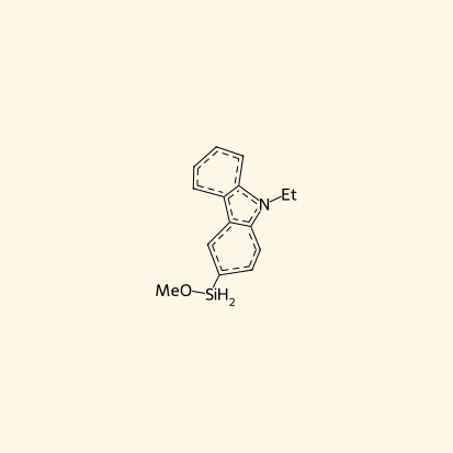 CCn1c2ccccc2c2cc([SiH2]OC)ccc21